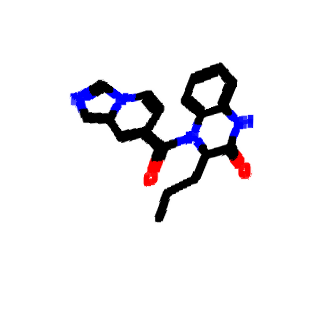 CCCC1C(=O)Nc2ccccc2N1C(=O)c1ccn2cncc2c1